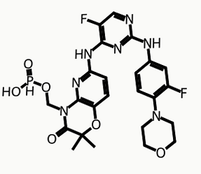 CC1(C)Oc2ccc(Nc3nc(Nc4ccc(N5CCOCC5)c(F)c4)ncc3F)nc2N(CO[PH](=O)O)C1=O